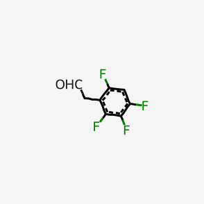 O=CCc1c(F)cc(F)c(F)c1F